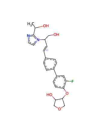 CC(O)c1nccn1C(/C=C/c1ccc(-c2ccc(OC3COCC3O)c(F)c2)cc1)CO